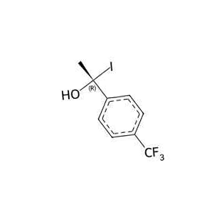 C[C@@](O)(I)c1ccc(C(F)(F)F)cc1